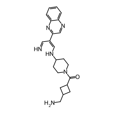 N=C/C(=C\NC1CCN(C(=O)C2CC(CN)C2)CC1)c1cnc2ccccc2n1